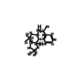 C[C@H](NC1C[C@@H]2CC(F)(F)CN2C(C)(C)C1)c1ccccc1